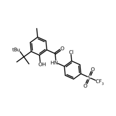 Cc1cc(C(=O)Nc2ccc(S(=O)(=O)C(F)(F)F)cc2Cl)c(O)c(C(C)(C)C(C)(C)C)c1